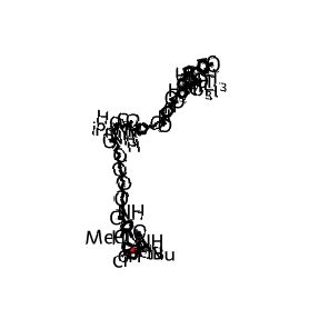 COc1cc(C(=O)NCCOCCOCCOCCOCCC(=O)N[C@H](C(=O)N[C@@H](C)C(=O)Nc2ccc(COC(=O)N3CCN(C(=O)O[C@H]4CC[C@@]5(C)[C@H](CC[C@@H]6[C@@H]5[C@H](O)C(=O)[C@]5(C)[C@@H](C7=CCC(=O)C=C7)CC[C@]65O)C4)CC3)cc2)C(C)C)ccc1NC(=O)[C@@H]1N[C@@H](CC(C)(C)C)[C@](C#N)(c2ccc(Cl)cc2F)[C@H]1c1cccc(Cl)c1F